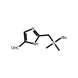 CC(C)(C)[Si](C)(C)Cc1ncc(C=O)[nH]1